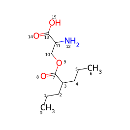 CCCC(CCC)C(=O)OCC(N)C(=O)O